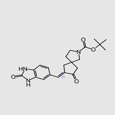 CC(C)(C)OC(=O)N1CCC2(CC(=O)/C(=C/c3ccc4[nH]c(=O)[nH]c4c3)C2)C1